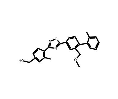 COCc1cc(-c2nc(-c3ccc(CO)cc3F)no2)ccc1-c1ccccc1C